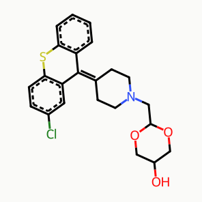 OC1COC(CN2CCC(=C3c4ccccc4Sc4ccc(Cl)cc43)CC2)OC1